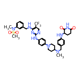 CN(Cc1ccc(NC2CCC(=O)NC2=O)cc1)C1CCN(c2ccc(Nc3ncc(C(F)(F)F)c(NCc4cccc(N(C)S(C)(=O)=O)c4)n3)cc2)CC1